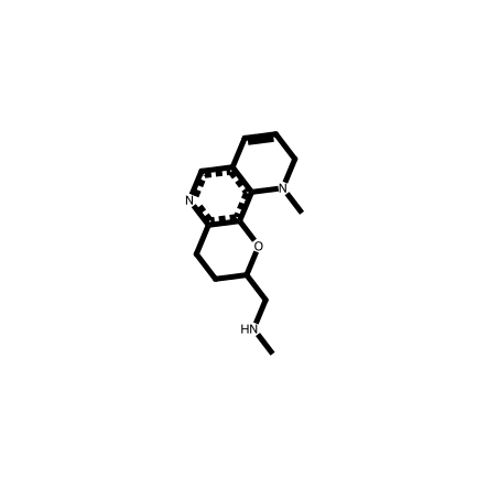 CNCC1CCc2ncc3c(c2O1)N(C)CC=C3